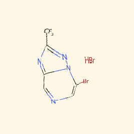 Br.FC(F)(F)c1nc2cncc(Br)n2n1